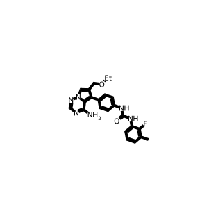 CCOCc1cn2ncnc(N)c2c1-c1ccc(NC(=O)Nc2cccc(C)c2F)cc1